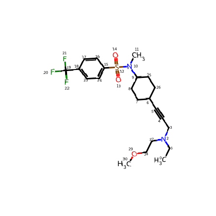 CCN(CC#CC1CCC(N(C)S(=O)(=O)c2ccc(C(F)(F)F)cc2)CC1)CCOC